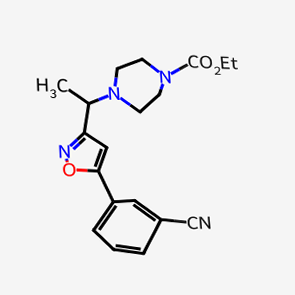 CCOC(=O)N1CCN(C(C)c2cc(-c3cccc(C#N)c3)on2)CC1